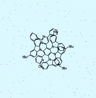 Cc1cccc(-c2c(-n3c4ccccc4c4cc(C(C)(C)C)ccc43)c(-c3cc(-c4ccccc4)nc(-c4ccccc4)n3)c(-n3c4ccccc4c4cc(C(C)(C)C)ccc43)c(-n3c4ccccc4c4cc(C(C)(C)C)ccc43)c2-n2c3ccccc3c3cc(C(C)(C)C)ccc32)n1